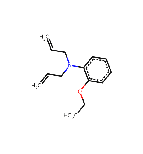 C=CCN(CC=C)c1ccccc1OCC(=O)O